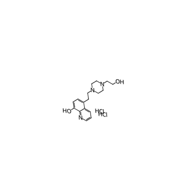 Cl.Cl.OCCN1CCN(CCc2ccc(O)c3ncccc23)CC1